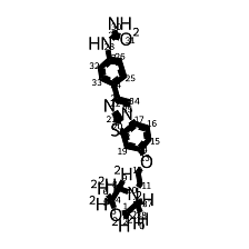 [2H]C1([2H])OC([2H])([2H])C([2H])([2H])N(CCOc2ccc3c(c2)sc2nc(-c4ccc(NC(N)=O)cc4)cn23)C1([2H])[2H]